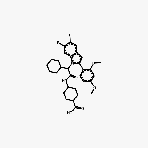 COc1ccc(-c2nc3cc(F)c(F)cc3n2C(C(=O)NC2CCC(C(=O)O)CC2)C2CCCCC2)c(OC)n1